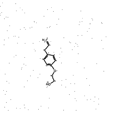 C=CCc1ccc(OCCO)cc1